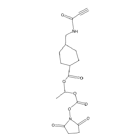 C#CC(=O)NCC1CCC(C(=O)OC(C)OC(=O)ON2C(=O)CCC2=O)CC1